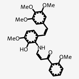 COc1ccccc1C(=O)/C=C\Nc1c(/C=C\c2cc(OC)c(OC)c(OC)c2)ccc(OC)c1O